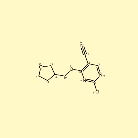 N#Cc1cnc(Cl)nc1OCC1CCOC1